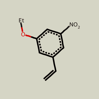 C=Cc1cc(OCC)cc([N+](=O)[O-])c1